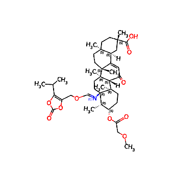 COCC(=O)O[C@H]1CC[C@]2(C)[C@H]3C(=O)C=C4[C@@H]5C[C@@](C)(C(=O)O)CC[C@]5(C)CC[C@@]4(C)[C@]3(C)CC[C@@]2(/N=C/OCc2oc(=O)oc2C(C)C)[C@H]1C